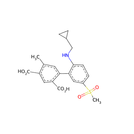 Cc1cc(-c2cc(S(C)(=O)=O)ccc2NCC2CC2)c(C(=O)O)cc1C(=O)O